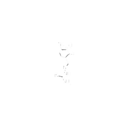 N=C(N)N/N=C/c1ccc([N+](=O)[O-])c(Cl)c1F